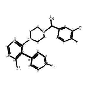 Cc1ccc(C(C#N)N2CCN(c3ncnc(N)c3-c3ccc(F)cc3)CC2)cc1Cl